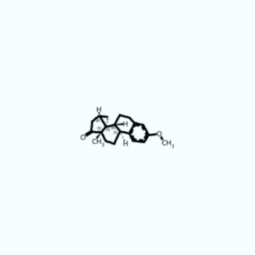 COc1ccc2c(c1)CC[C@@H]1[C@@H]2CC[C@]2(C)C(=O)C[C@H]3C[C@]312